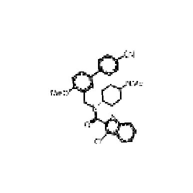 CN[C@H]1CC[C@H](N(Cc2cc(-c3ccc(C#N)cc3)ccc2OC)C(=O)c2sc3ccccc3c2Cl)CC1